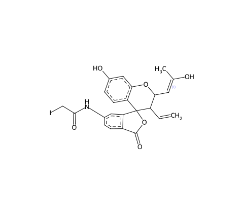 C=CC1C(/C=C(\C)O)Oc2cc(O)ccc2C12OC(=O)c1ccc(NC(=O)CI)cc12